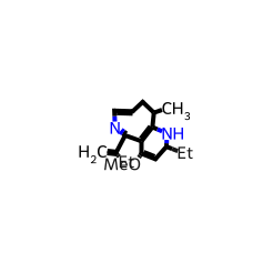 C=C(CC)/C1=N/C=C/CC(C)C2=C1C(OC)=CC(CC)N2